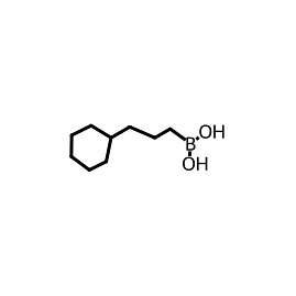 OB(O)CCCC1CCCCC1